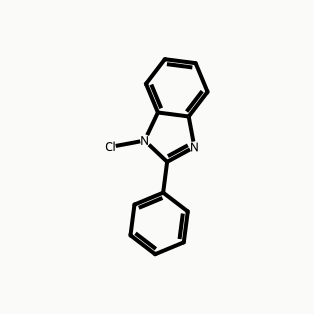 Cln1c(-c2ccccc2)nc2ccccc21